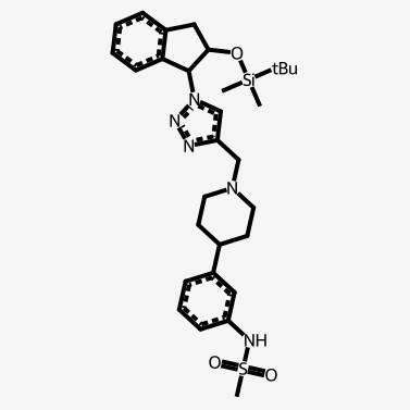 CC(C)(C)[Si](C)(C)OC1Cc2ccccc2C1n1cc(CN2CCC(c3cccc(NS(C)(=O)=O)c3)CC2)nn1